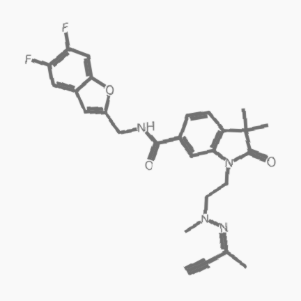 C#C/C(C)=N\N(C)CCN1C(=O)C(C)(C)c2ccc(C(=O)NCc3cc4cc(F)c(F)cc4o3)cc21